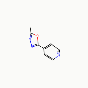 Cc1nnc(-c2ccncc2)o1